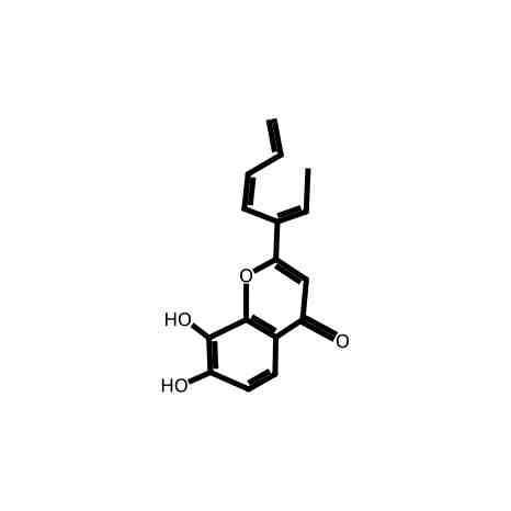 C=C/C=C\C(=C/C)c1cc(=O)c2ccc(O)c(O)c2o1